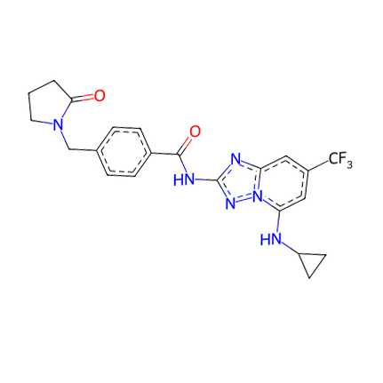 O=C(Nc1nc2cc(C(F)(F)F)cc(NC3CC3)n2n1)c1ccc(CN2CCCC2=O)cc1